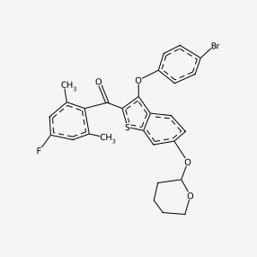 Cc1cc(F)cc(C)c1C(=O)c1sc2cc(OC3CCCCO3)ccc2c1Oc1ccc(Br)cc1